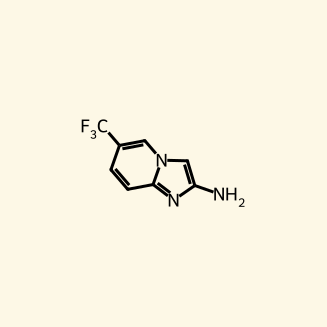 Nc1cn2cc(C(F)(F)F)ccc2n1